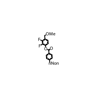 CCCCCCCCCc1ccc(C(=O)Oc2ccc(COC)c(F)c2F)cc1